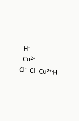 [Cl-].[Cl-].[Cu+2].[Cu+2].[H-].[H-]